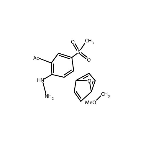 CC(=O)c1cc(S(C)(=O)=O)ccc1NN.COC.c1cc2ccc1o2